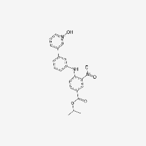 CC(C)OC(=O)c1ccc(Nc2cccc(-c3ccc[n+](O)c3)c2)c([N+](=O)[O-])c1